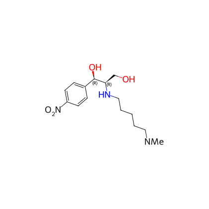 CNCCCCCN[C@H](CO)[C@H](O)c1ccc([N+](=O)[O-])cc1